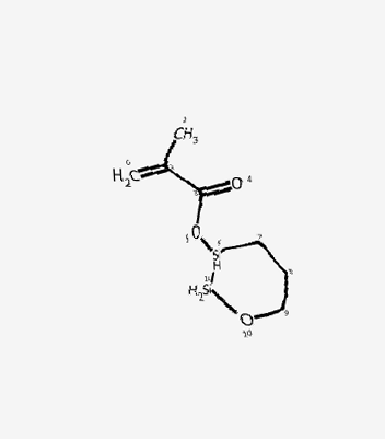 C=C(C)C(=O)O[SiH]1CCCO[SiH2]1